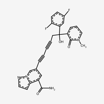 Cn1cccc(C(O)(CC#CC#Cc2cc(C(N)=O)c3ccnn3c2)c2cc(F)ccc2F)c1=O